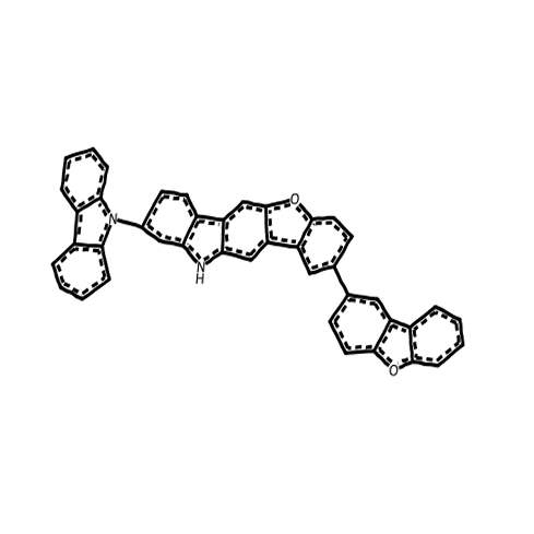 c1ccc2c(c1)oc1ccc(-c3ccc4oc5cc6c(cc5c4c3)[nH]c3cc(-n4c5ccccc5c5ccccc54)ccc36)cc12